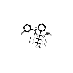 CC(C)(C)C(C)(C)[C@](NC(=O)c1cccc(I)c1)(O[SiH3])c1ccccc1